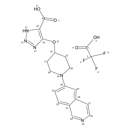 O=C(O)C(F)(F)F.O=C(O)c1[nH]nnc1OC1CCN(c2ccc3cnccc3c2)CC1